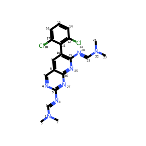 CN(C)C=Nc1ncc2cc(-c3c(Cl)cccc3Cl)c(N=CN(C)C)nc2n1